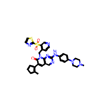 CC1=C(c2cc3cnc(Nc4ccc(N5CCN(C)CC5)cc4)nc3n(Cc3ccncc3S(=O)(=O)c3nccs3)c2=O)CCC1